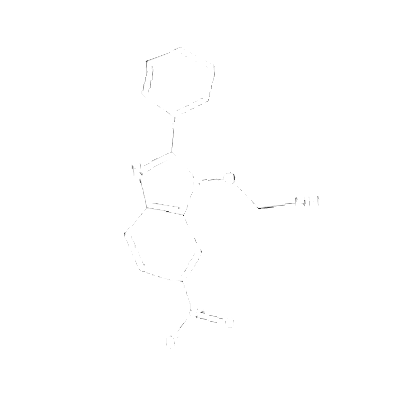 NCOn1c(-c2ccccc2)nc2ccc([N+](=O)[O-])cc21